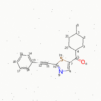 CC1CCC(C(=O)c2cnc(C#Cc3ccccc3)s2)CC1